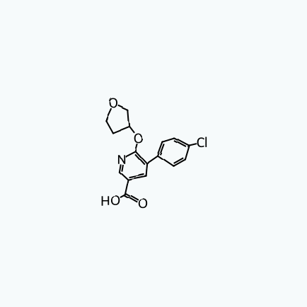 O=C(O)c1cnc(OC2CCOC2)c(-c2ccc(Cl)cc2)c1